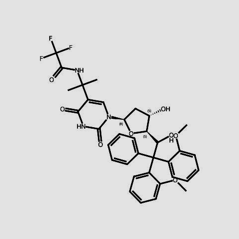 COc1ccccc1C(c1ccccc1)(c1ccccc1OC)C(O)[C@H]1O[C@@H](n2cc(C(C)(C)NC(=O)C(F)(F)F)c(=O)[nH]c2=O)C[C@@H]1O